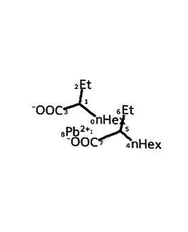 CCCCCCC(CC)C(=O)[O-].CCCCCCC(CC)C(=O)[O-].[Pb+2]